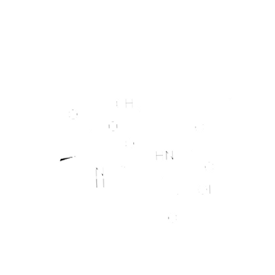 COC(=O)[C@H](Cc1ccccc1)NC(=O)CC(NC(=O)OCc1ccccc1)C(=O)O